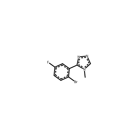 Cn1cnnc1-c1cc(F)ccc1Br